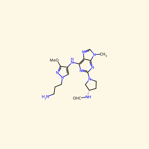 COc1nn(CCCN)cc1Nc1nc(N2CC[C@H](NC=O)C2)nc2c1ncn2C